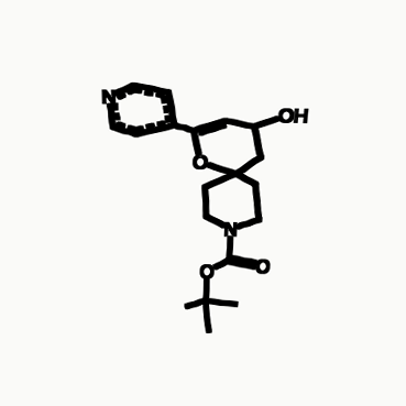 CC(C)(C)OC(=O)N1CCC2(CC1)CC(O)C=C(c1ccncc1)O2